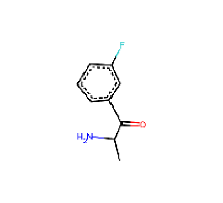 CC(N)C(=O)c1cccc(F)c1